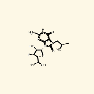 CC[C@H](O)[C@H]1O[C@@H](n2c(=O)n(C[C@@H](C)O)c3c(=O)[nH]c(N)nc32)[C@H](O)[C@H]1F